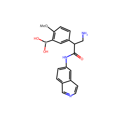 COc1ccc(C(CN)C(=O)Nc2ccc3cnccc3c2)cc1B(O)O